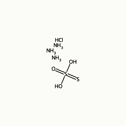 Cl.N.N.N.O=S(O)(O)=S